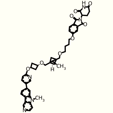 C[C@@H]1C2(COCCCCOc3ccc4c(c3)C(=O)N(C3CCC(=O)NC3=O)C4=O)CC1(CO[C@H]1C[C@H](Oc3ccc(-c4ccc5c6cnccc6n(C)c5c4)cn3)C1)C2